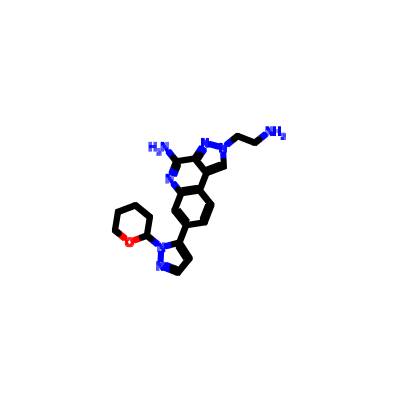 NCCn1cc2c(n1)c(N)nc1cc(-c3ccnn3C3CCCCO3)ccc12